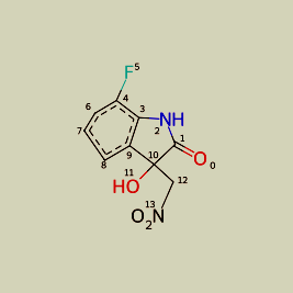 O=C1Nc2c(F)cccc2C1(O)C[N+](=O)[O-]